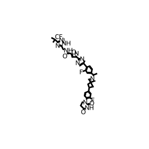 CC(c1ccc(-c2cnc(-c3cc(C(=O)NCc4nc(C(C)(C)C(F)(F)F)n[nH]4)on3)nc2)c(F)c1)N1CC2(CC(c3ccc(N4CCC(=O)NC4=O)c(F)c3)C2)C1